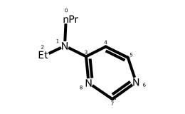 CCCN(CC)c1ccn[c]n1